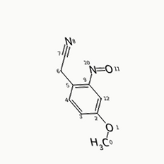 COc1ccc(CC#N)c(N=O)c1